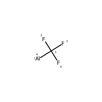 F[C](F)(F)[Al]